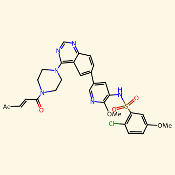 COc1ccc(Cl)c(S(=O)(=O)Nc2cc(-c3ccc4ncnc(N5CCN(C(=O)/C=C/C(C)=O)CC5)c4c3)cnc2OC)c1